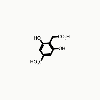 O=C(O)Cc1c(O)cc(C(=O)O)cc1O